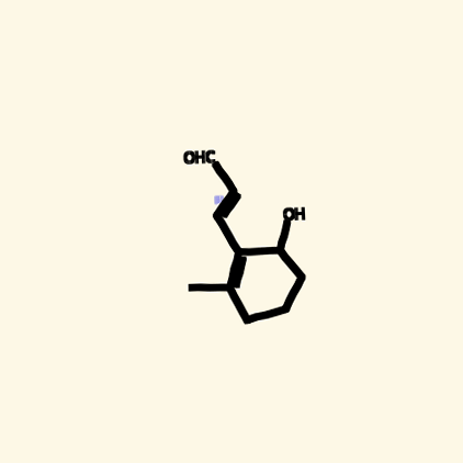 CC1=C(/C=C/C=O)C(O)CCC1